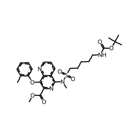 COC(=O)c1nc(N(C)S(=O)(=O)CCCCCNC(=O)OC(C)(C)C)c2cccnc2c1Oc1ccccc1C